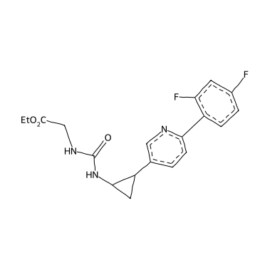 CCOC(=O)CNC(=O)NC1CC1c1ccc(-c2ccc(F)cc2F)nc1